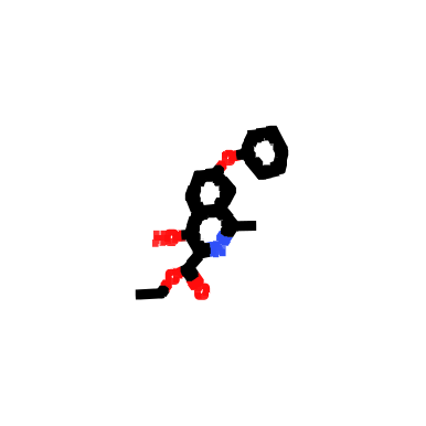 CCOC(=O)c1nc(C)c2cc(Oc3ccccc3)ccc2c1O